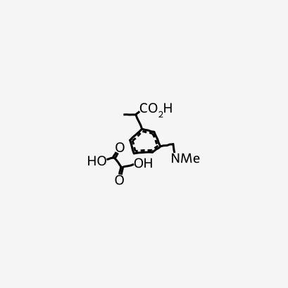 CNCc1cccc(C(C)C(=O)O)c1.O=C(O)C(=O)O